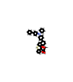 c1ccc(-c2ccc(N(c3ccccc3)c3ccc(-c4cccc5c6c(ccc45)Sc4ccccc4C64c5ccccc5-c5ccccc54)cc3)cc2)cc1